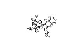 COCOc1cc2ccccc2cc1C(=O)OC(C(C)C)C(F)(F)C(=O)O